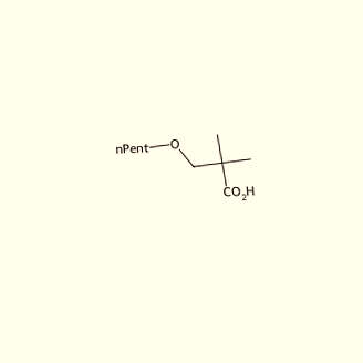 CCCCCOCC(C)(C)C(=O)O